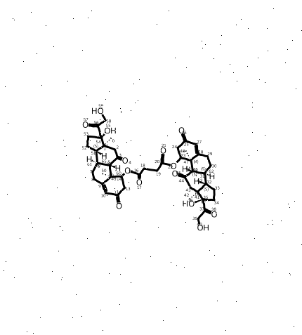 C[C@]12CC(=O)[C@H]3[C@@H](CCC4=CC(=O)CC(OC(=O)CCC(=O)OC5CC(=O)C=C6CC[C@H]7[C@@H]8CC[C@](O)(C(=O)CO)[C@@]8(C)CC(=O)[C@@H]7[C@]65C)[C@@]43C)[C@@H]1CC[C@]2(O)C(=O)CO